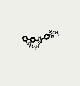 CS(=O)(=O)c1ccc(-c2csc(-c3ccc(-c4ccccc4[N+](=O)[O-])c(OC(=O)O)c3)n2)cc1